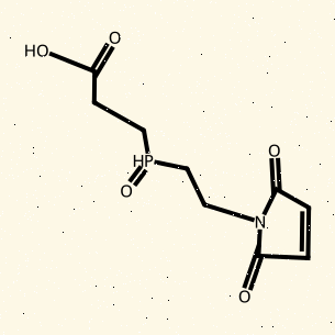 O=C(O)CC[PH](=O)CCN1C(=O)C=CC1=O